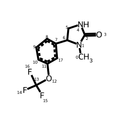 CN1C(=O)NCC1c1cccc(OC(F)(F)F)c1